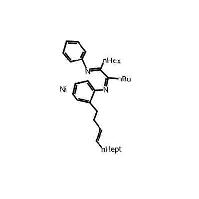 CCCCCCCC=CCCc1ccccc1N=C(CCCC)C(CCCCCC)=Nc1ccccc1.[Ni]